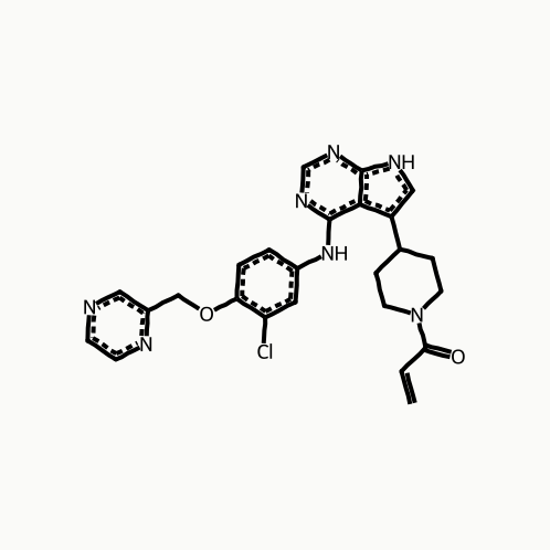 C=CC(=O)N1CCC(c2c[nH]c3ncnc(Nc4ccc(OCc5cnccn5)c(Cl)c4)c23)CC1